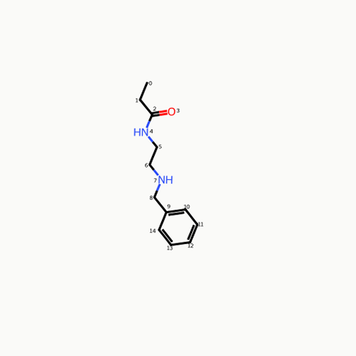 CCC(=O)NCCNCc1ccccc1